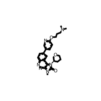 CN(C)CCCOc1ccc(-c2ccc3nnc4c(c3c2)n([C@@H]2CCCOC2)c(=O)n4C)cn1